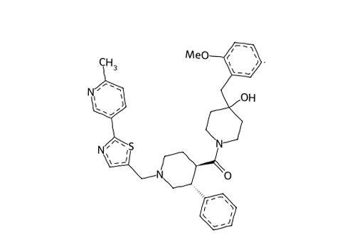 COc1cc[c]cc1CC1(O)CCN(C(=O)[C@@H]2CCN(Cc3cnc(-c4ccc(C)nc4)s3)C[C@H]2c2ccccc2)CC1